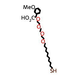 COc1cccc(C(OCCOCCOCCOCCCCCCCCCCCS)C(=O)O)c1